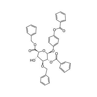 O=C(Oc1ccc(O[C@@H]2O[C@H](C(=O)OCc3ccccc3)[C@@H](O)[C@H](OCc3ccccc3)[C@H]2OC(=O)c2ccccc2)cc1)c1ccccc1